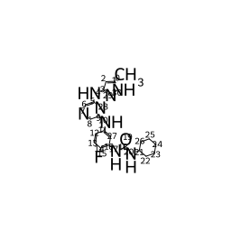 Cc1cc(Nc2cncc(Nc3ccc(F)c(NC(=O)NC4CCCCC4)c3)n2)n[nH]1